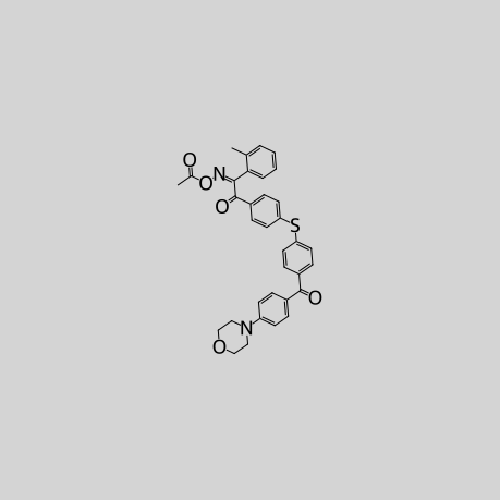 CC(=O)O/N=C(\C(=O)c1ccc(Sc2ccc(C(=O)c3ccc(N4CCOCC4)cc3)cc2)cc1)c1ccccc1C